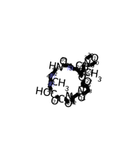 CC1=C\C(O)CC(=O)Cc2nc(co2)C(=O)N2CCCC2C(=O)OC(C(C)CN2CCOCC2)C(C)/C=C/C(=O)NC\C=C\1